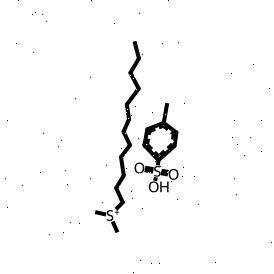 CCCCCCCCCCCC[S+](C)C.Cc1ccc(S(=O)(=O)O)cc1